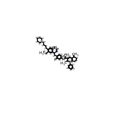 C=C1CCCC2=C1C=C(C(=C)Nc1ccc(CC(/C=C\C)=c3\cc(CC)c(CCCCN4CCCCC4)cc3=C)c(F)c1)C(=C)N2c1ccccc1